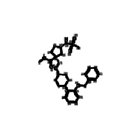 COC(=O)[C@@]1(COC2CCC(c3ccccc3OCc3ccccc3)CC2)CC[C@H](NS(C)(=O)=O)C1